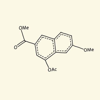 COC(=O)c1cc(OC(C)=O)c2cc(OC)ccc2c1